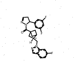 O=C(N1N=CCC1c1cc(F)cc(F)c1)C12CC(C1)[C@H](Cn1ncc3ccc(F)cc31)C2